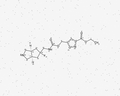 CCOC(=O)c1cc(COC(=O)NCC2(F)C[C@H]3CNC[C@H]3C2)on1